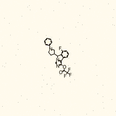 O=C(Oc1ncn2c1-c1cccc(F)c1C2C1CCN(c2ccccc2)C1)C(F)(F)F